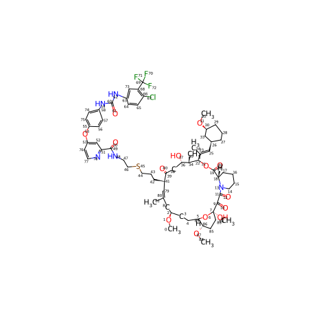 CO[C@@H]1CC[C@H]2O[C@@](O)(C(=O)C(=O)N3CCCC[C@H]3C(=O)O[C@H](/C(C)=C/[C@@H]3CCC[C@H](OC)C3)[C@H](C)[C@@H](O)CC(=O)[C@H](CCCSCCNC(=O)c3cc(Oc4ccc(NC(=O)Nc5ccc(Cl)c(C(F)(F)F)c5)cc4)ccn3)/C=C(\C)C1)[C@H](C)C[C@@H]2OC